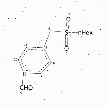 CCCCCCS(=O)(=O)Cc1ccc(C=O)cc1